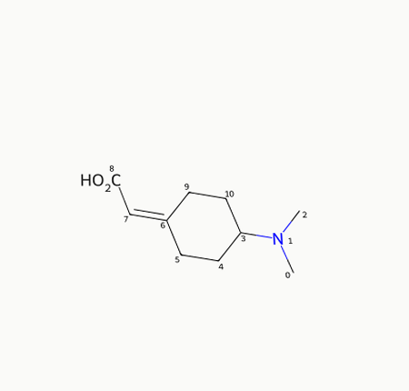 CN(C)C1CCC(=CC(=O)O)CC1